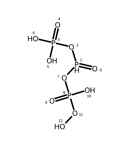 O=[PH](OP(=O)(O)O)OP(=O)(O)OO